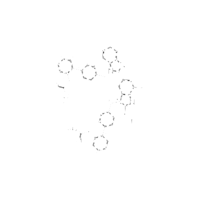 CCCc1nc2c(C)cc(-c3nc4ccccc4n3Cc3ccc(-c4ccccc4CC(=O)OC)cc3)cc2n1Cc1ccc(-c2ccccc2CC(=O)OC)cc1